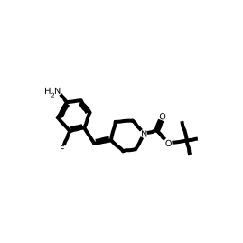 CC(C)(C)OC(=O)N1CCC(=Cc2ccc(N)cc2F)CC1